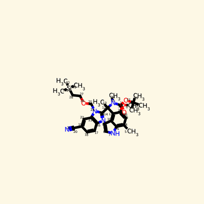 COc1cc(C)c2[nH]ccc2c1C(C)(c1nc2ccc(C#N)cc2n1COCC[Si](C)(C)C)N(C)C(=O)OC(C)(C)C